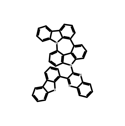 c1ccc2nc(-n3c4cccc5c6cccc7c8ccccc8n(c8cccc3c8c54)c67)c(-c3cccc4c3sc3ccccc34)nc2c1